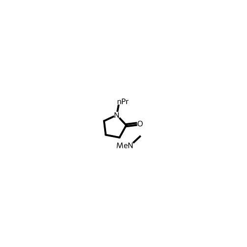 CCCN1CCCC1=O.CNC